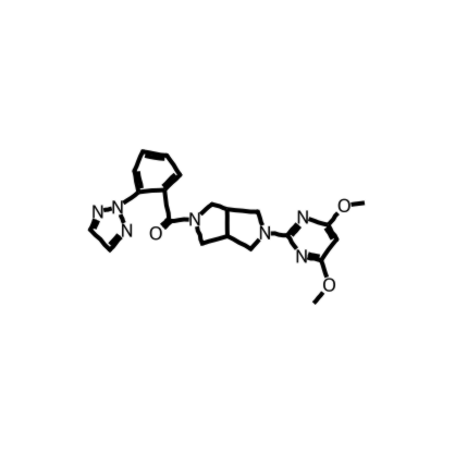 COc1cc(OC)nc(N2CC3CN(C(=O)c4ccccc4-n4nccn4)CC3C2)n1